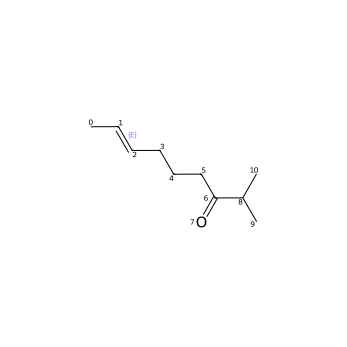 C/C=C/CCCC(=O)C(C)C